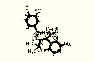 CC(=O)c1ccc2c(c1)[C@](NC(=O)c1ccc(F)c(Cl)c1)(P(=O)(O)O)[C@@H](O)C(C)(C)O2